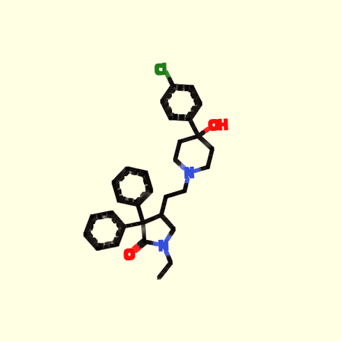 CCN1CC(CCN2CCC(O)(c3ccc(Cl)cc3)CC2)C(c2ccccc2)(c2ccccc2)C1=O